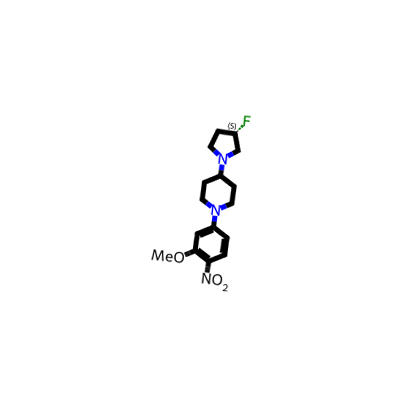 COc1cc(N2CCC(N3CC[C@H](F)C3)CC2)ccc1[N+](=O)[O-]